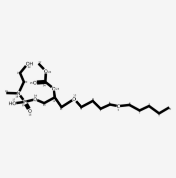 CCCCCCCCCCOCC(COP(=O)(O)N(C)CCO)OC(=O)OC